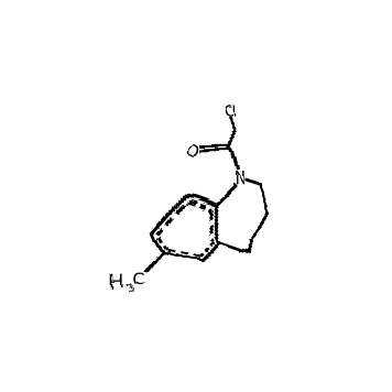 Cc1ccc2c(c1)CCCN2C(=O)CCl